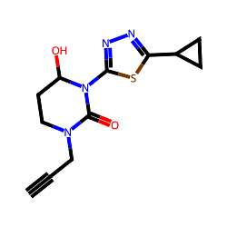 C#CCN1CCC(O)N(c2nnc(C3CC3)s2)C1=O